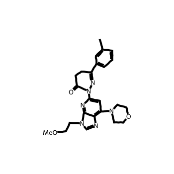 COCCn1cnc2c(N3CCOCC3)cc(N3N=C(c4cccc(C)c4)CCC3=O)nc21